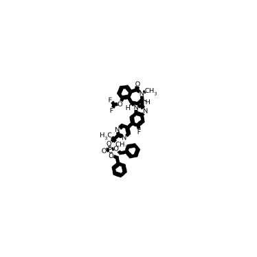 CN1C(=O)c2cccc(OC(F)F)c2[C@H]2C[C@@H]1c1nc3cc(F)c(-c4cnc(C(C)(C)OP(=O)(OCc5ccccc5)OCc5ccccc5)nc4)cc3n12